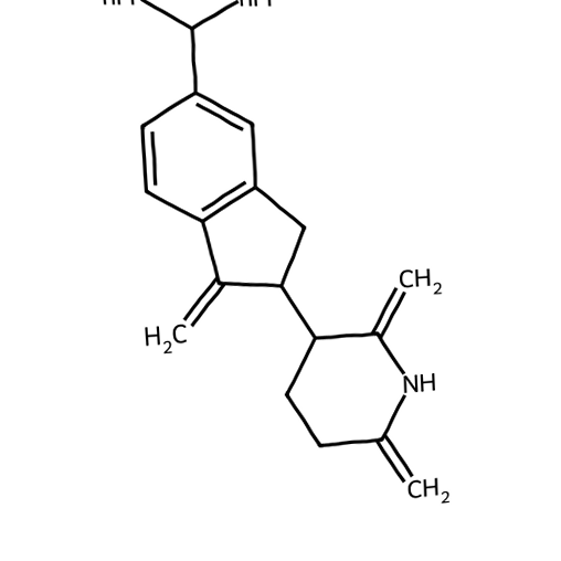 C=C1CCC(C2Cc3cc(C(CCC)CCC)ccc3C2=C)C(=C)N1